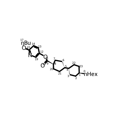 CCCCCC[C@H]1CC[C@H]([C@H]2CC[C@H](C(=O)Oc3ccc(OCCCC)nc3)CC2)CC1